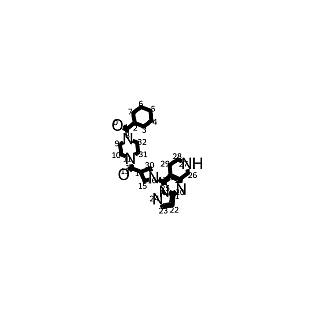 O=C(C1CCCCC1)N1CCN(C(=O)C2CN(c3c4c(nc5ccnn35)CNCC4)C2)CC1